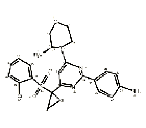 C[C@H]1COCCN1c1cc(C2(S(=O)(=O)c3ccccc3Cl)CC2)nc(-c2ccc(N)cc2)n1